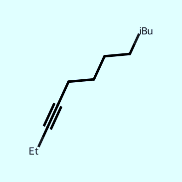 [CH2]CC#CCCCCC(C)C[CH2]